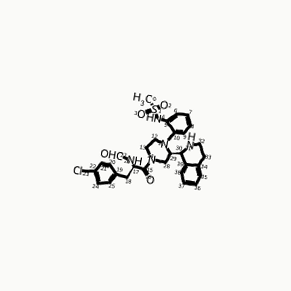 CS(=O)(=O)Nc1ccccc1N1CCN(C(=O)[C@@H](Cc2ccc(Cl)cc2)NC=O)C[C@@H]1C1NCCc2ccccc21